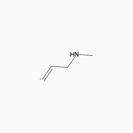 [CH]=CCNC